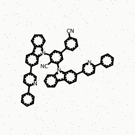 N#Cc1cccc(-c2cc(-n3c4ccccc4c4ccc(-c5ccc(-c6ccccc6)nc5)cc43)c(C#N)c(-n3c4ccccc4c4ccc(-c5ccc(-c6ccccc6)nc5)cc43)c2)c1